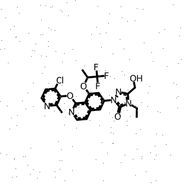 CCn1c(CO)nn(-c2cc(OC(C)C(F)(F)F)c3c(Oc4c(Cl)ccnc4C)nccc3c2)c1=O